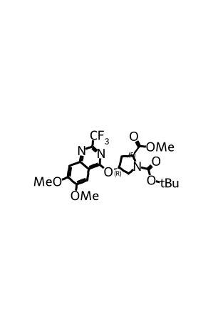 COC(=O)[C@@H]1C[C@@H](Oc2nc(C(F)(F)F)nc3cc(OC)c(OC)cc23)CN1C(=O)OC(C)(C)C